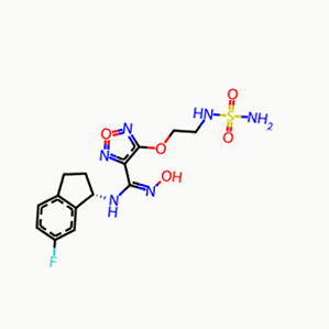 NS(=O)(=O)NCCOc1nonc1/C(=N\O)N[C@H]1CCc2ccc(F)cc21